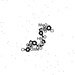 COc1ccc(Cl)cc1S(=O)(=O)N1CCc2ccc(C(=O)Nc3ccn(CC(=O)OC(=O)c4ccc5c(c4)N(S(=O)(=O)c4cc(Cl)ccc4OC)CC5)n3)cc21